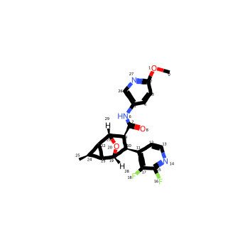 COc1ccc(NC(=O)[C@H]2[C@@H](c3ccnc(F)c3F)[C@H]3O[C@@H]2C2C3[C@H]2C)cn1